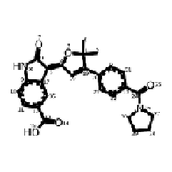 CC1(C)OC(=C2C(=O)Nc3ccc(C(=O)O)cc32)C=C1c1ccc(C(=O)N2CCCC2)cc1